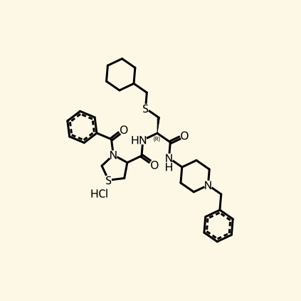 Cl.O=C(N[C@@H](CSCC1CCCCC1)C(=O)NC1CCN(Cc2ccccc2)CC1)C1CSCN1C(=O)c1ccccc1